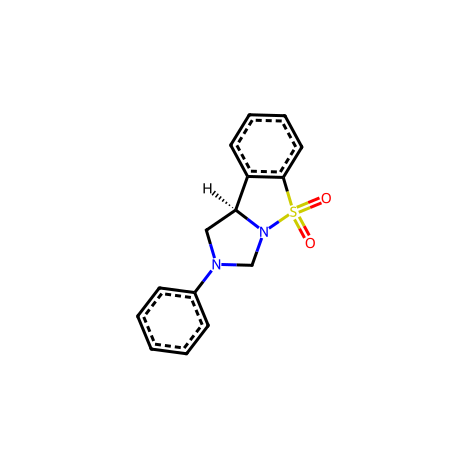 O=S1(=O)c2ccccc2[C@@H]2CN(c3ccccc3)CN21